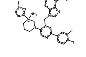 Cn1ccc([C@@]2(N)CCCN(c3cnc(-c4ccc(F)c(F)c4)cc3Cn3cnc4c(N)ncnc43)C2)n1